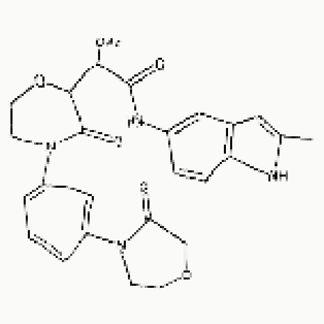 CC(=O)OC(C(=O)Nc1ccc2[nH]c(C)cc2c1)C1OCCN(c2cccc(N3CCOCC3=O)c2)C1=O